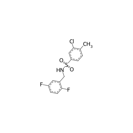 Cc1ccc(S(=O)(=O)NCc2cc(F)ccc2F)cc1Cl